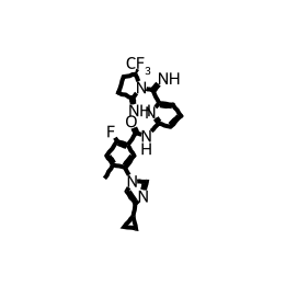 Cc1cc(F)c(C(=O)Nc2cccc(C(=N)N3C(=N)CC[C@H]3C(F)(F)F)n2)cc1-n1cnc(C2CC2)c1